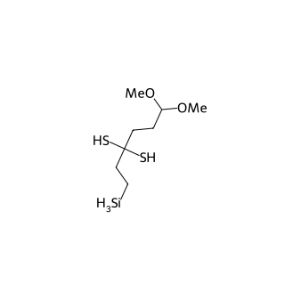 COC(CCC(S)(S)CC[SiH3])OC